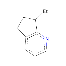 CCC1CCc2cccnc21